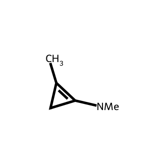 CNC1=C(C)C1